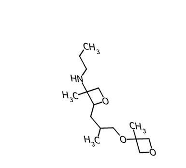 CCCNC1(C)COC1CC(C)COC1(C)COC1